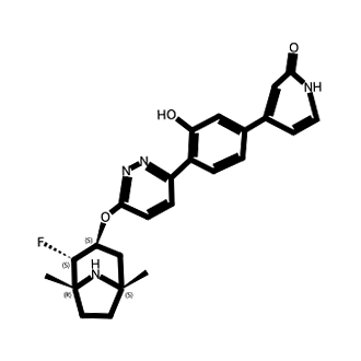 C[C@@]12CC[C@@](C)(N1)[C@H](F)[C@@H](Oc1ccc(-c3ccc(-c4cc[nH]c(=O)c4)cc3O)nn1)C2